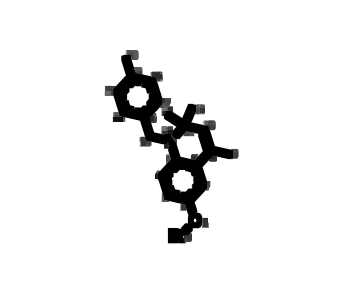 CCOc1ccc2c(c1)C(C)=CC(C)(C)N2Cc1ccc(C)cc1